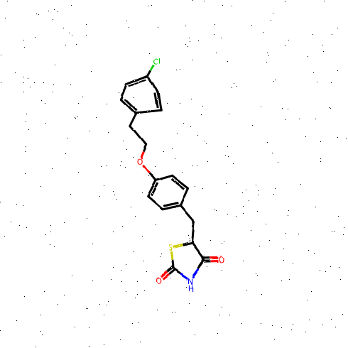 O=C1NC(=O)C(Cc2ccc(OCCc3ccc(Cl)cc3)cc2)S1